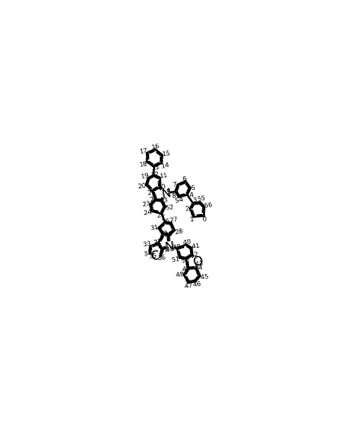 c1ccc(-c2cccc(-n3c4cc(-c5ccccc5)ccc4c4ccc(-c5ccc6c(c5)c5ccccc5n6-c5ccc6oc7ccccc7c6c5)cc43)c2)cc1